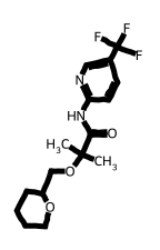 CC(C)(OCC1CCCCO1)C(=O)Nc1ccc(C(F)(F)F)cn1